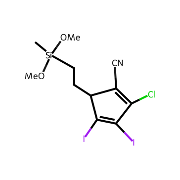 CO[Si](C)(CCC1C(I)=C(I)C(Cl)=C1C#N)OC